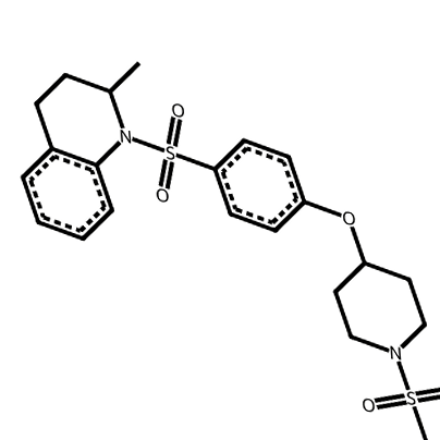 CC1CCc2ccccc2N1S(=O)(=O)c1ccc(OC2CCN(S(C)(=O)=O)CC2)cc1